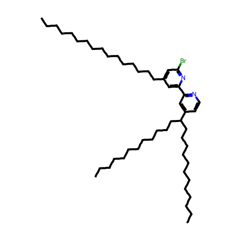 CCCCCCCCCCCCCCCCc1cc(Br)nc(-c2cc(C(CCCCCCCCCCCC)CCCCCCCCCCCC)ccn2)c1